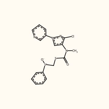 CN(C(=O)SC[S+]([O-])c1ccccc1)c1cn(-c2cccnc2)nc1Cl